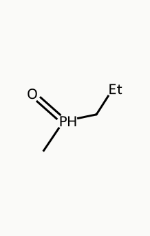 CCC[PH](C)=O